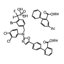 COC(=O)c1cc(C(C)=O)ccc1-c1ccccc1.COC(=O)c1ccccc1-c1ccc(-c2cnc(N(Cc3ccc(C(F)(F)P(=O)(O)O)c(Br)c3)c3ccc(Cl)c(Cl)c3)o2)cc1